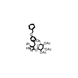 CC(=O)OC[C@H]1O[C@@H](Oc2n[nH]c(C(C)C)c2Cc2ccc(OCc3ccccc3)cc2)[C@H](OC(C)=O)[C@@H](OC(C)=O)[C@@H]1OC(C)=O